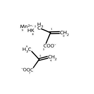 C=C(C)C(=O)[O-].C=C(C)C(=O)[O-].[KH].[Mn+2]